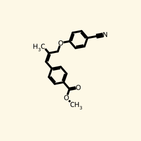 COC(=O)c1ccc(C=C(C)COc2ccc(C#N)cc2)cc1